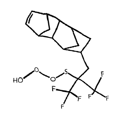 OOOSC(CC1CC2CC1C1C3C=CC(C3)C21)(C(F)(F)F)C(F)(F)F